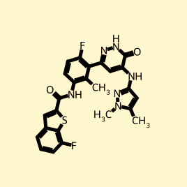 Cc1c(NC(=O)c2cc3cccc(F)c3s2)ccc(F)c1-c1cc(Nc2cc(C)n(C)n2)c(=O)[nH]n1